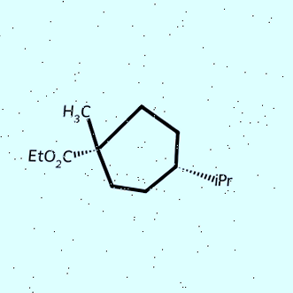 CCOC(=O)[C@]1(C)CC[C@H](C(C)C)CC1